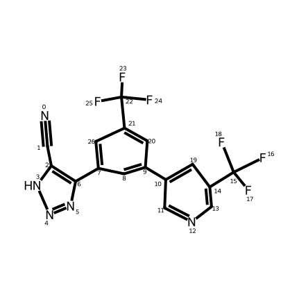 N#Cc1[nH]nnc1-c1cc(-c2cncc(C(F)(F)F)c2)cc(C(F)(F)F)c1